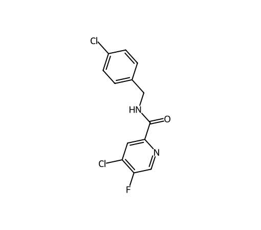 O=C(NCc1ccc(Cl)cc1)c1cc(Cl)c(F)cn1